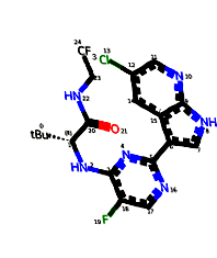 CC(C)(C)[C@@H](Nc1nc(-c2c[nH]c3ncc(Cl)cc23)ncc1F)C(=O)NCC(F)(F)F